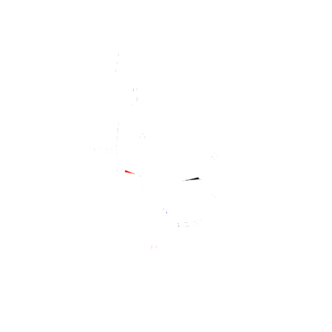 C=Cc1ccc(S(=O)(=O)O[C@H]2C[C@@H](C(=O)OC)N(C(=O)O)C2)cc1